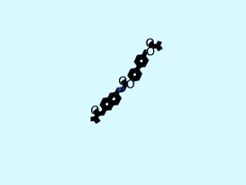 C=C(C)C(=O)Cc1ccc2cc(/C=C/C(=O)Oc3ccc(-c4ccc(COC(=O)C(=C)C)cc4)cc3)ccc2c1